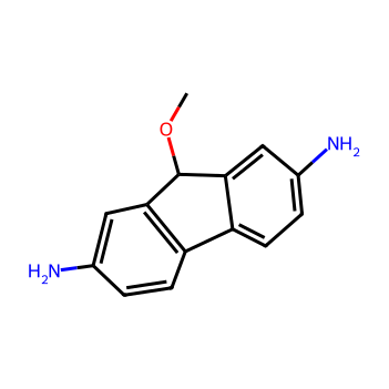 COC1c2cc(N)ccc2-c2ccc(N)cc21